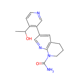 CC(O)c1ccncc1-c1cnc2c(c1)CCCN2C(N)=O